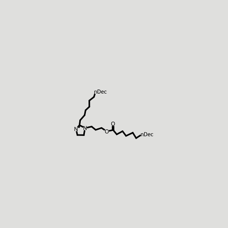 CCCCCCCCCCCCCCCCC1=NCCN1CCCOC(=O)CCCCCCCCCCCCCCC